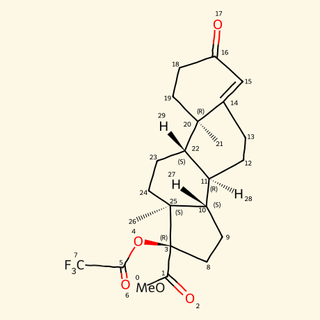 COC(=O)[C@@]1(OC(=O)C(F)(F)F)CC[C@H]2[C@@H]3CCC4=CC(=O)CC[C@]4(C)[C@H]3CC[C@@]21C